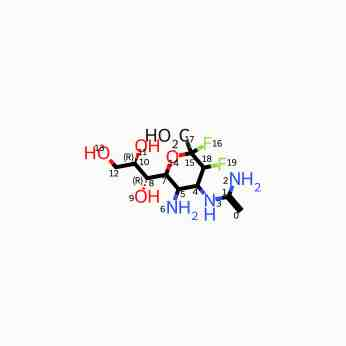 C=C(N)NC1C(N)C([C@H](O)[C@H](O)CO)OC(F)(C(=O)O)C1F